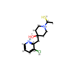 CC(S)N1CCC(O)(Cc2ncccc2Cl)CC1